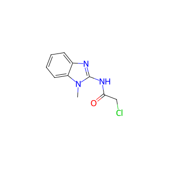 Cn1c(NC(=O)CCl)nc2ccccc21